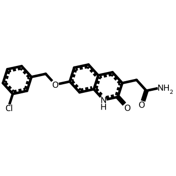 NC(=O)Cc1cc2ccc(OCc3cccc(Cl)c3)cc2[nH]c1=O